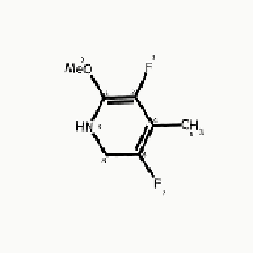 COC1=C(F)C(C)=C(F)CN1